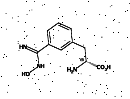 N=C(NO)c1cccc(C[C@@H](N)C(=O)O)c1